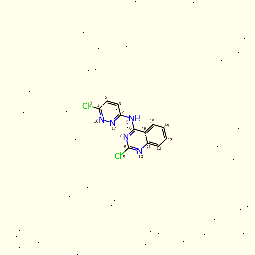 Clc1ccc(Nc2nc(Cl)nc3ccccc23)nn1